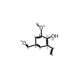 C=Cc1cc(C=O)cc(OC)c1O